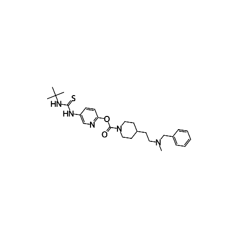 CN(CCC1CCN(C(=O)Oc2ccc(NC(=S)NC(C)(C)C)cn2)CC1)Cc1ccccc1